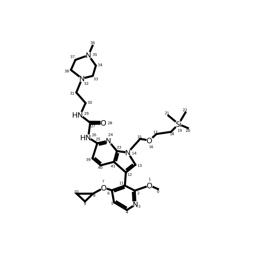 COc1nccc(OC2CC2)c1-c1cn(COCC[Si](C)(C)C)c2nc(NC(=O)NCCN3CCN(C)CC3)ccc12